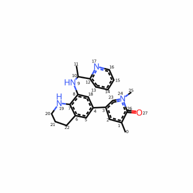 Cc1cc(-c2cc3c(c(NC(C)c4ccccn4)c2)NCCC3)cn(C)c1=O